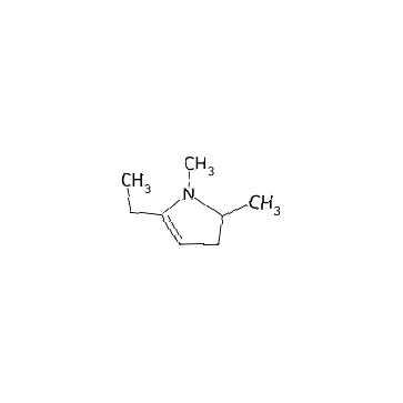 CCC1=CCC(C)N1C